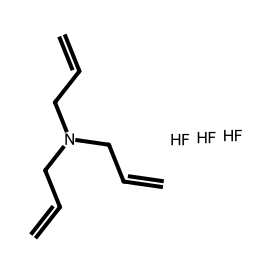 C=CCN(CC=C)CC=C.F.F.F